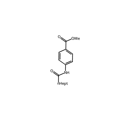 CCCCCCCC(=O)Nc1ccc(C(=O)OC)cc1